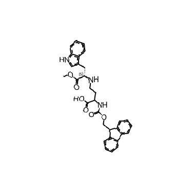 COC(=O)[C@H](Cc1c[nH]c2ccccc12)NCCC(NC(=O)OCC1c2ccccc2-c2ccccc21)C(=O)O